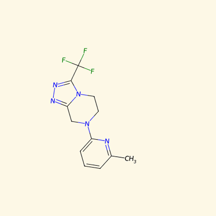 Cc1cccc(N2CCn3c(nnc3C(F)(F)F)C2)n1